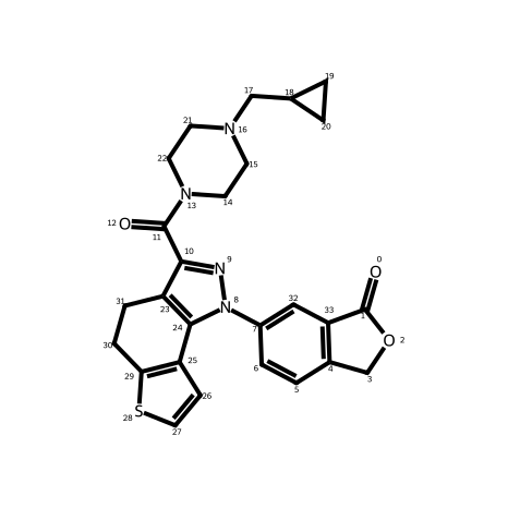 O=C1OCc2ccc(-n3nc(C(=O)N4CCN(CC5CC5)CC4)c4c3-c3ccsc3CC4)cc21